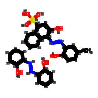 Cc1ccc(O)c(N=Nc2c(O)cc(S(=O)(=O)O)c3ccccc23)c1.Oc1ccccc1N=Nc1ccccc1O